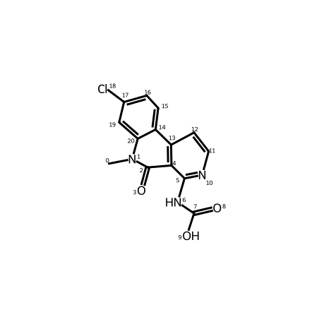 Cn1c(=O)c2c(NC(=O)O)nccc2c2ccc(Cl)cc21